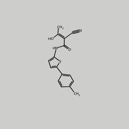 CC(O)=C(C#N)C(=O)Nc1ccc(-c2ccc(C)cc2)s1